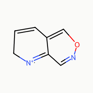 C1=CC2=CON=CC2=[N+]C1